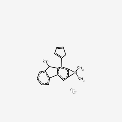 C[Si]1(C)c2cc3c(c(C4=CC=CC4)c21)[CH]([Zr+2])c1ccccc1-3.[Cl-].[Cl-]